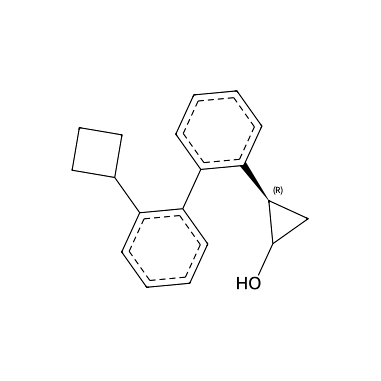 OC1C[C@@H]1c1ccccc1-c1ccccc1C1CCC1